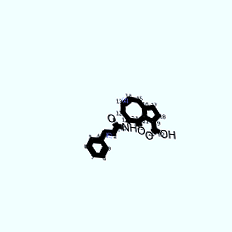 O=C(/C=C/c1ccccc1)NC1C/C=C\CC2CCC(C(=O)O)C2C1=O